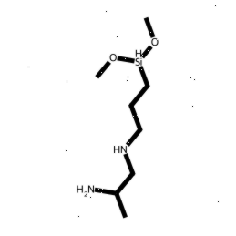 CO[SiH](CCCNCC(C)N)OC